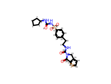 O=C(NC1CCCC1)NS(=O)(=O)c1ccc(CCNC(=O)N2Cc3ccsc3C2=O)cc1